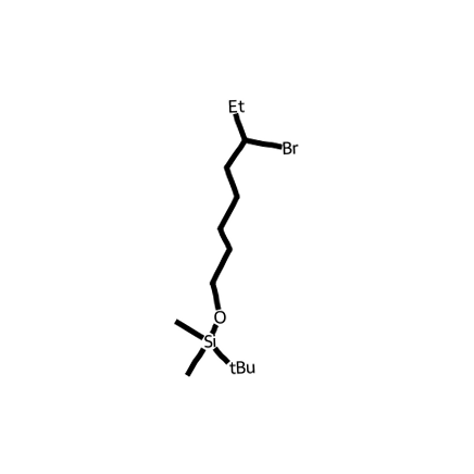 CCC(Br)CCCCCO[Si](C)(C)C(C)(C)C